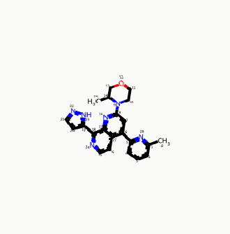 Cc1cccc(-c2cc(N3CCOCC3C)nc3c(-c4ccn[nH]4)nccc23)n1